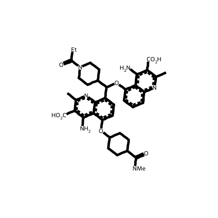 CCC(=O)N1CCC(C(Oc2cccc3nc(C)c(C(=O)O)c(N)c23)c2ccc(OC3CCC(C(=O)NC)CC3)c3c(N)c(C(=O)O)c(C)nc23)CC1